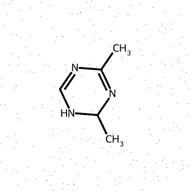 CC1=NC(C)NC=N1